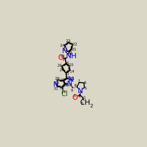 C=CC(=O)N1CCC[C@H]1Cn1nc(-c2ccc(C(=O)Nc3ccccn3)cc2)c2cncc(Cl)c21